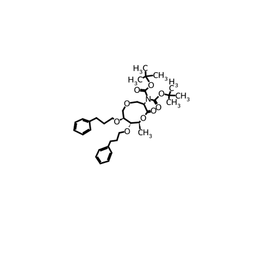 C[C@@H]1OC(=O)[C@@H](N(C(=O)OC(C)(C)C)C(=O)OC(C)(C)C)COC[C@H](OCCCc2ccccc2)[C@H]1OCCCc1ccccc1